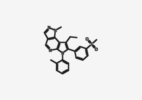 CCc1c(-c2cccc(S(C)(=O)=O)c2)n(-c2ccccc2C)c2ncc3cnn(C)c3c12